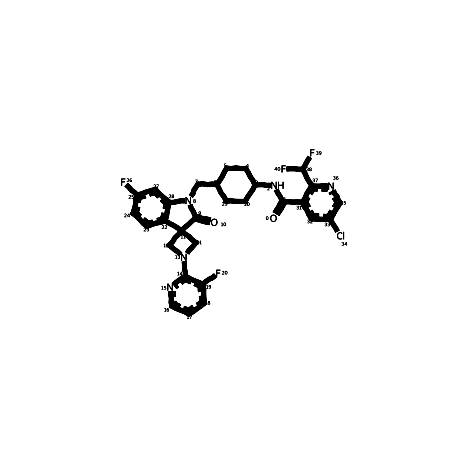 O=C(NC1CCC(CN2C(=O)C3(CN(c4ncccc4F)C3)c3ccc(F)cc32)CC1)c1cc(Cl)cnc1C(F)F